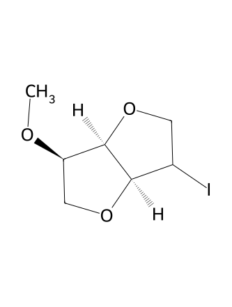 CO[C@@H]1CO[C@@H]2C(I)CO[C@@H]21